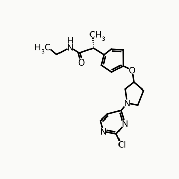 CCNC(=O)[C@H](C)c1ccc(OC2CCN(c3ccnc(Cl)n3)C2)cc1